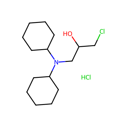 Cl.OC(CCl)CN(C1CCCCC1)C1CCCCC1